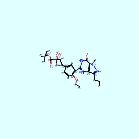 CCCc1nn(C)c2c(=O)[nH]c(-c3cc(C4CC(O)(C(=O)OC(C)(C)C)C4)ccc3OCC)nc12